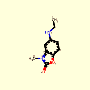 CCNc1ccc2oc(=O)n(C)c2c1